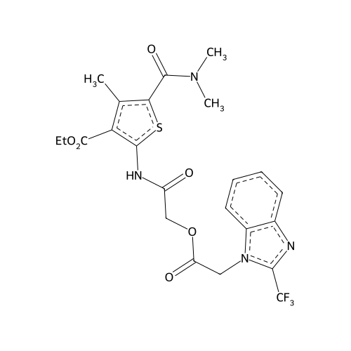 CCOC(=O)c1c(NC(=O)COC(=O)Cn2c(C(F)(F)F)nc3ccccc32)sc(C(=O)N(C)C)c1C